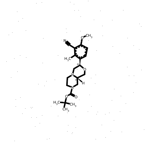 COc1ccc([C@@H]2CN3CCN(C(=O)OC(C)(C)C)C[C@H]3CO2)c(C)c1C#N